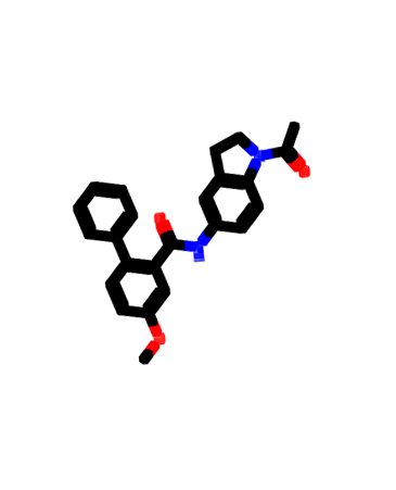 COc1ccc(-c2ccccc2)c(C(=O)Nc2ccc3c(c2)CCN3C(C)=O)c1